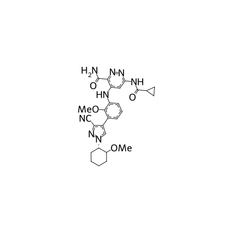 COc1c(Nc2cc(NC(=O)C3CC3)nnc2C(N)=O)cccc1-c1cn([C@H]2CCCCC2OC)nc1C#N